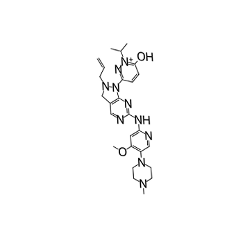 C=CCN1Cc2cnc(Nc3cc(OC)c(N4CCN(C)CC4)cn3)nc2N1c1ccc(O)[n+](C(C)C)n1